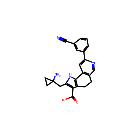 N#Cc1cccc(-c2cc3c(cn2)CCc2c-3[nH]c(CC3(N)CC3)c2C(=O)O)c1